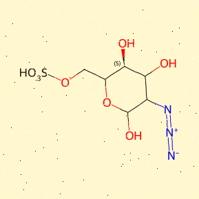 [N-]=[N+]=NC1C(O)OC(COS(=O)(=O)O)[C@@H](O)C1O